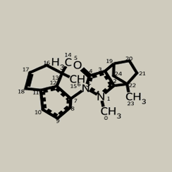 Cn1c2c(c(=O)n1-c1cccc3c1C(C)(C)CC=C3)C1CCC2(C)C1